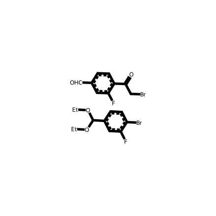 CCOC(OCC)c1ccc(Br)c(F)c1.O=Cc1ccc(C(=O)CBr)c(F)c1